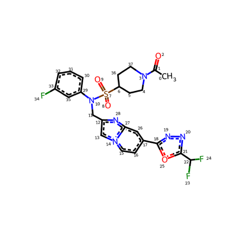 CC(=O)N1CCC(S(=O)(=O)N(Cc2cn3ccc(-c4nnc(C(F)F)o4)cc3n2)c2cccc(F)c2)CC1